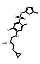 CN[C@@H](CCC1CC1)CNc1cc(F)c(S(=O)(=O)Nc2ncc(F)s2)cc1Cl